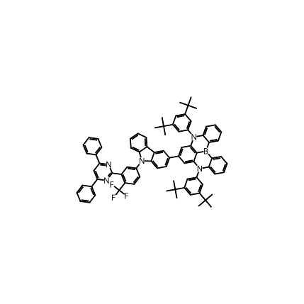 CC(C)(C)c1cc(N2c3ccccc3B3c4ccccc4N(c4cc(C(C)(C)C)cc(C(C)(C)C)c4)c4cc(-c5ccc6c(c5)c5ccccc5n6-c5ccc(C(F)(F)F)c(-c6nc(-c7ccccc7)cc(-c7ccccc7)n6)c5)cc2c43)cc(C(C)(C)C)c1